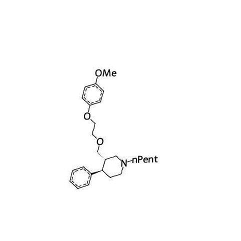 CCCCCN1CC[C@@H](c2ccccc2)[C@H](COCCOc2ccc(OC)cc2)C1